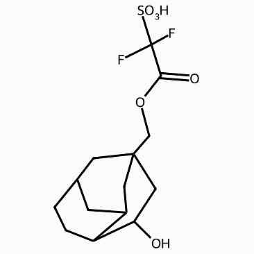 O=C(OCC12CC3CCC(C(O)C1)C(C3)C2)C(F)(F)S(=O)(=O)O